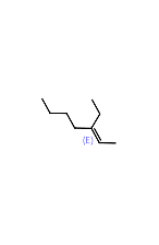 C/C=C(\CC)CCCC